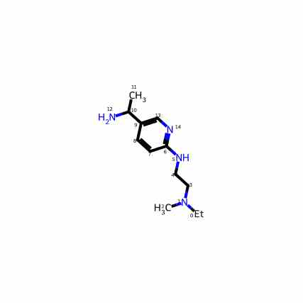 CCN(C)CCNc1ccc(C(C)N)cn1